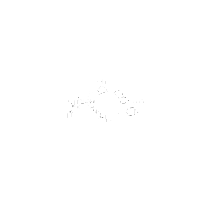 CCn1c(-c2cccnc2[C@H](C)OC)c2c3cc(ccc31)-c1cc(O)cc(c1)C[C@H](NC(=O)C(C(C)C)N(C)C(=O)[C@H]1CC[C@@H]3CCCN[C@H]31)C(=O)N1CCC[C@H](N1)C(=O)OCC(C)(C)C2